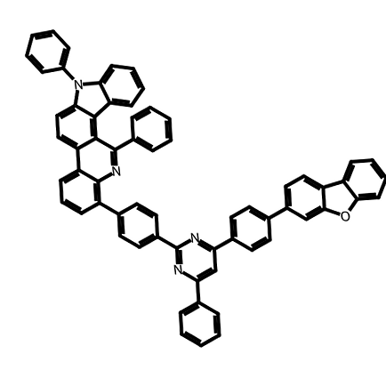 c1ccc(-c2cc(-c3ccc(-c4ccc5c(c4)oc4ccccc45)cc3)nc(-c3ccc(-c4cccc5c4nc(-c4ccccc4)c4c5ccc5c4c4ccccc4n5-c4ccccc4)cc3)n2)cc1